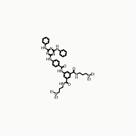 CCN(CC)CCCNC(=O)c1cc(NC(=O)c2ccc(Nc3nc(Nc4ccccc4)nc(Nc4ccccc4)n3)cc2)cc(C(=O)NCCCN(CC)CC)c1